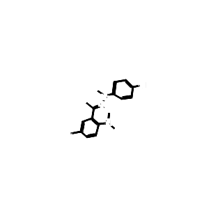 C/C(=N\N(C)c1ccc(C(F)(F)F)cc1)c1cc(Cl)ccc1N(C)C